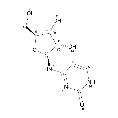 O=c1nc(N[C@H]2O[C@@H](CO)[C@H](O)[C@@H]2O)cc[nH]1